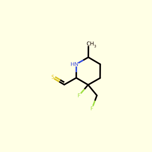 CC1CCC(F)(CF)C(C=S)N1